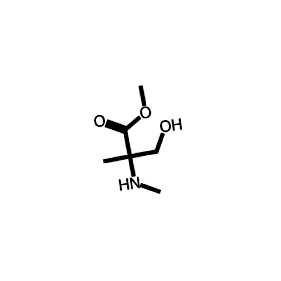 CNC(C)(CO)C(=O)OC